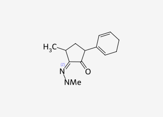 CN/N=C1\C(=O)C(C2=CCCC=C2)CC1C